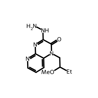 CCC(Cn1c(=O)c(NN)nc2ncccc21)OC